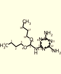 CCCCOC(Nc1nc(N)nc(N)n1)OCCCC